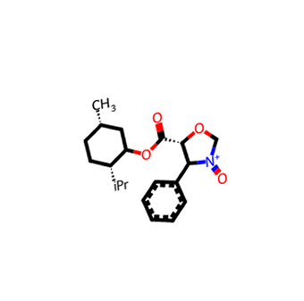 CC(C)[C@@H]1CC[C@H](C)CC1OC(=O)[C@@H]1OC[N+](=O)C1c1ccccc1